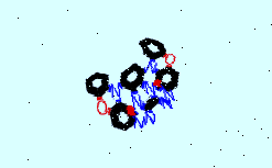 c1ccc2c(c1)Oc1ccccc1N2c1ccc(N2c3ccccc3Oc3ccccc32)c2c1n1cnnc1c1nncn12